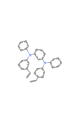 C=Cc1ccc(N(c2ccccc2)c2cccc(N(c3ccccc3)c3cccc(C=C)c3)c2)cc1